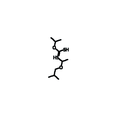 CC(C)COC(C)[SH]=C(S)OC(C)C